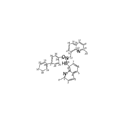 Cc1ccc2cccc(BN(Cc3cccc4ccc(C)nc34)Oc3ccc(C4=CCCC=C4)cc3)c2n1